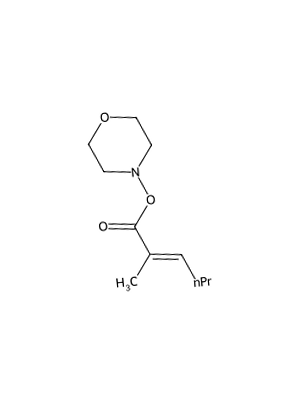 CCCC=C(C)C(=O)ON1CCOCC1